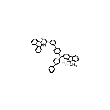 CC1(C)c2ccccc2-c2ccc(N(c3ccc(-c4ccccc4)cc3)c3ccc(-c4cccc(-c5cnc6c7ccccc7c7ccccc7c6n5)c4)cc3)cc21